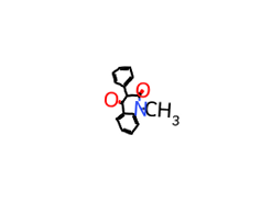 CN1C(=O)C(c2ccccc2)C(=O)c2ccccc21